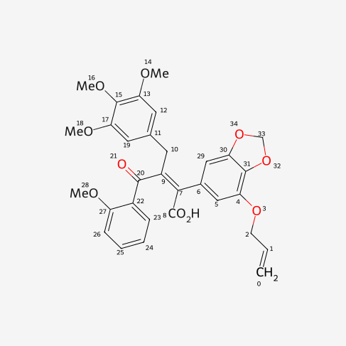 C=CCOc1cc(C(C(=O)O)=C(Cc2cc(OC)c(OC)c(OC)c2)C(=O)c2ccccc2OC)cc2c1OCO2